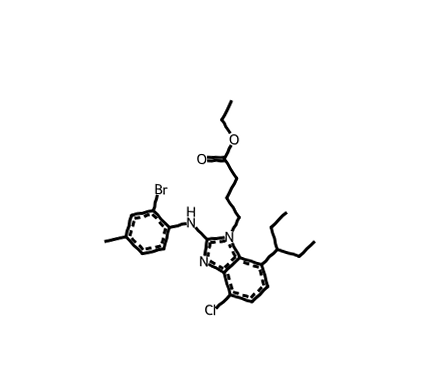 CCOC(=O)CCCn1c(Nc2ccc(C)cc2Br)nc2c(Cl)ccc(C(CC)CC)c21